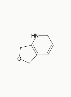 C1=CC2=C(COC2)NC1